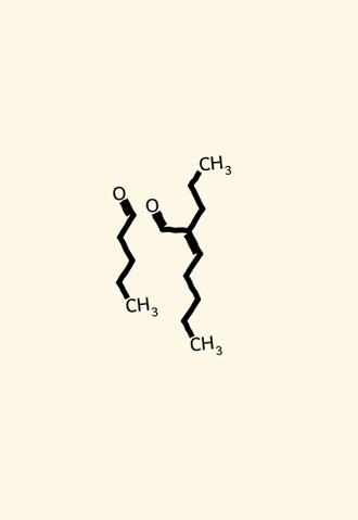 CCCCC=C(C=O)CCC.CCCCC=O